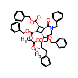 CC(=O)O[C@@H](CCCN(Cc1ccccc1)C(=O)[C@H]1[C@H](C(=O)OCc2ccccc2)[C@H](C(=O)OCc2ccccc2)[C@H]1C(=O)OCc1ccccc1)[C@@H](C)Cc1ccccc1